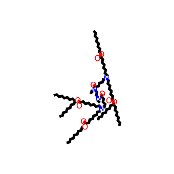 CCCCCCCCCOC(=O)CCCCCCCN(CCCCCCCC(=O)OC(CCCCCCCC)CCCCCCCC)CCCCC(=O)N(CC)CCN(CC)C(=O)CCCCN(CCCCCCCC(=O)OCCCCCCCCC)CCCCCCCC(=O)OC(CCCCCCCC)CCCCCCCC